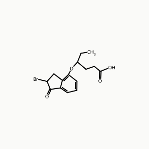 CCC(CCC(=O)O)Oc1cccc2c1CC(Br)C2=O